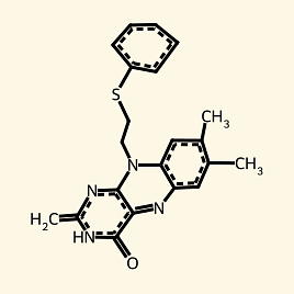 C=c1nc2c(c(=O)[nH]1)=Nc1cc(C)c(C)cc1N2CCSc1ccccc1